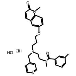 Cc1cccc(C(=O)N(C)CCN(CCCOc2ccc3c(ccc(=O)n3C)c2)Cc2ccncc2)c1.Cl.Cl